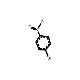 [O]S(=O)c1ccc(Br)cc1